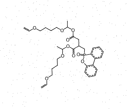 C=COCCCCOC(C)OC(=O)CC(CP1(=O)Oc2ccccc2-c2ccccc21)C(=O)OC(C)OCCCCOC=C